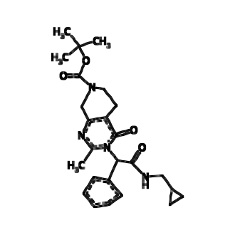 Cc1nc2c(c(=O)n1C(C(=O)NCC1CC1)c1ccccc1)CCN(C(=O)OC(C)(C)C)C2